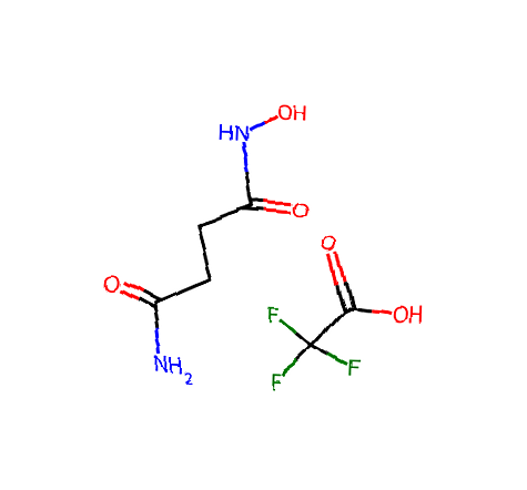 NC(=O)CCC(=O)NO.O=C(O)C(F)(F)F